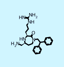 N=C(N)NCCC[C@@H]1N[C@H](CN)CCN(CC(c2ccccc2)c2ccccc2)C1=O